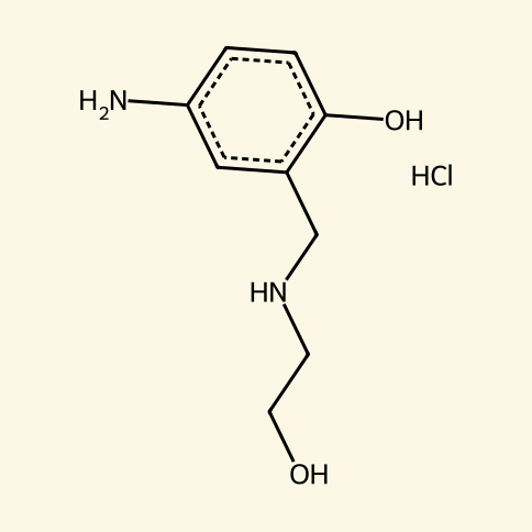 Cl.Nc1ccc(O)c(CNCCO)c1